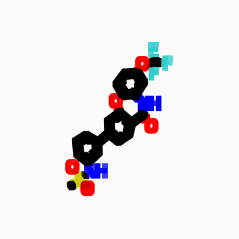 CS(=O)(=O)Nc1cccc(-c2ccc3c(c2)Oc2ccc(OC(F)(F)F)cc2NC3=O)c1